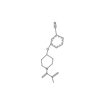 C=C(C)C(=C)N1CCC(Oc2cccc(C#N)c2)CC1